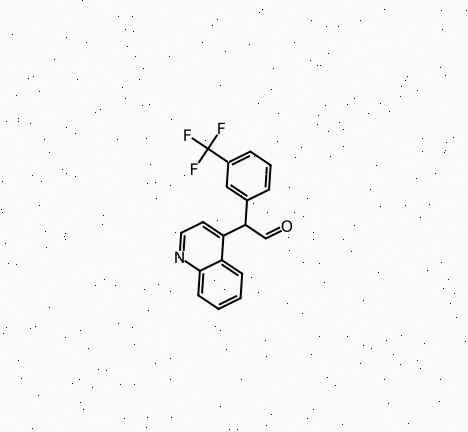 O=CC(c1cccc(C(F)(F)F)c1)c1ccnc2ccccc12